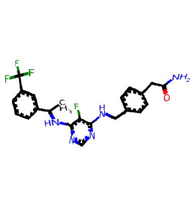 CC(Nc1ncnc(NCc2ccc(CC(N)=O)cc2)c1F)c1cccc(C(F)(F)F)c1